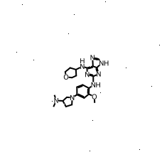 COc1cc(N2CCC(N(C)C)C2)ccc1Nc1nc(NC2CCOCC2)c2nc[nH]c2n1